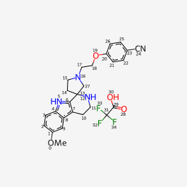 COc1ccc2[nH]c3c(c2c1)CCNC31CCN(CCOc2ccc(C#N)cc2)C1.O=C(O)C(F)(F)F